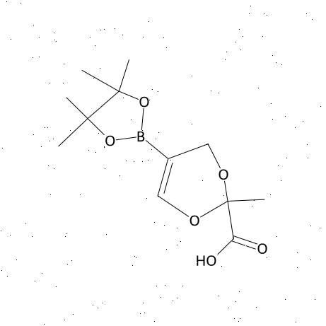 CC1(C(=O)O)OC=C(B2OC(C)(C)C(C)(C)O2)CO1